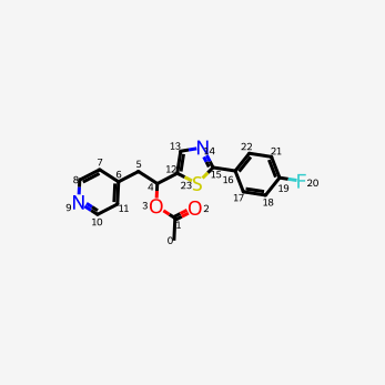 CC(=O)OC(Cc1ccncc1)c1cnc(-c2ccc(F)cc2)s1